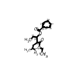 CCOC(=O)C(CC(C)C)C(CC)OC(=O)c1ccccc1